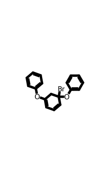 BrC1(Oc2ccccc2)C=CC=C(Oc2ccccc2)C1